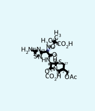 CC(=O)OCC1=C(C(=O)O)N2C(=O)[C@@H](NC(=O)/C(=N\OC(C)(C)C(=O)O)c3nsc(N)n3)[C@H]2SC1